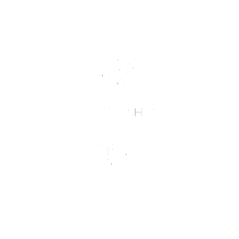 COP(=O)(OC(C)(C)CCOC(C)(C)CC(C)(C)C(C)(C)OP(=O)(OC)OC(C)(C)C(C)C)OC(C)(C)CC(C)(C)CS